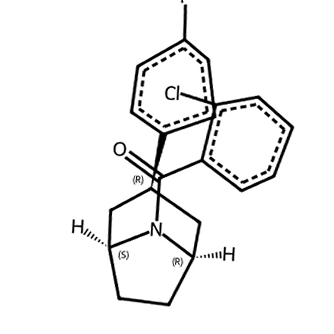 O=C(c1ccccc1Cl)N1[C@@H]2CC[C@H]1C[C@@H](c1ccc(F)cc1)C2